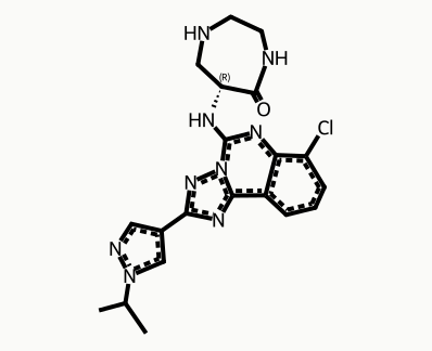 CC(C)n1cc(-c2nc3c4cccc(Cl)c4nc(N[C@@H]4CNCCNC4=O)n3n2)cn1